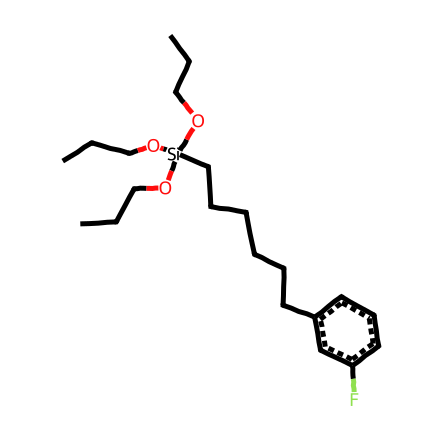 CCCO[Si](CCCCCCc1cccc(F)c1)(OCCC)OCCC